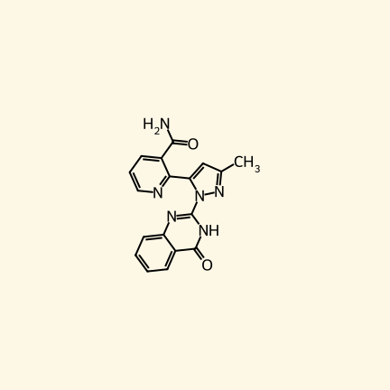 Cc1cc(-c2ncccc2C(N)=O)n(-c2nc3ccccc3c(=O)[nH]2)n1